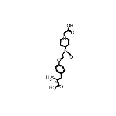 N[C@@H](Cc1ccc(OCCN(C=O)C2CCN(CC(=O)O)CC2)cc1)C(=O)O